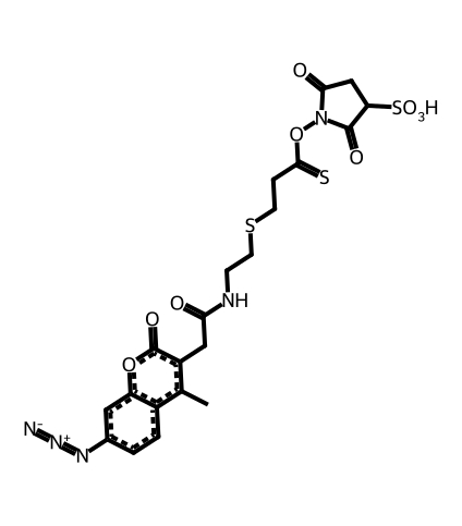 Cc1c(CC(=O)NCCSCCC(=S)ON2C(=O)CC(S(=O)(=O)O)C2=O)c(=O)oc2cc(N=[N+]=[N-])ccc12